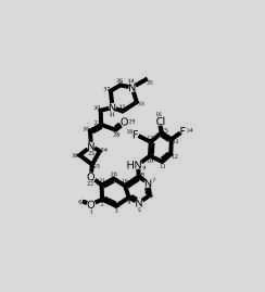 COc1cc2ncnc(Nc3ccc(F)c(Cl)c3F)c2cc1OC1CN(C=C(C=O)CN2CCN(C)CC2)C1